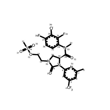 Cc1cc(C(F)(F)F)cc(N2C(=O)N(CCOS(C)(=O)=O)C[C@H]2C(=O)N(C)c2ccc(F)c(Cl)c2F)n1